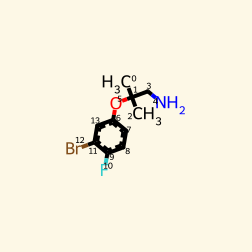 CC(C)(CN)Oc1ccc(F)c(Br)c1